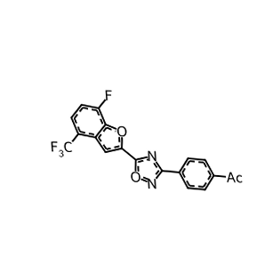 CC(=O)c1ccc(-c2noc(-c3cc4c(C(F)(F)F)ccc(F)c4o3)n2)cc1